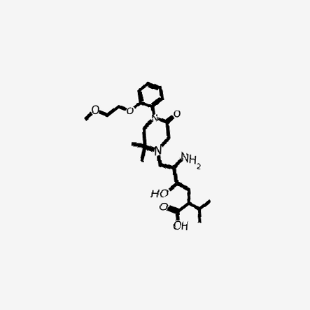 COCCOc1ccccc1N1CC(C)(C)N(CC(N)C(O)CC(C(=O)O)C(C)C)CC1=O